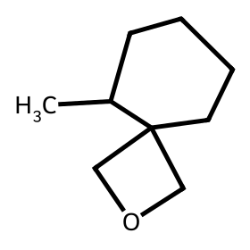 CC1CCCCC12COC2